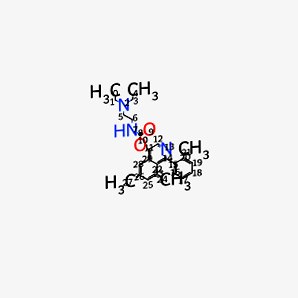 CCN(CC)CCNC(=O)Oc1cnc(-c2ccccc2C)c2c(C)cc(C)cc12